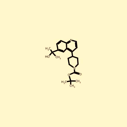 CC(C)(C)OC(=O)N1CCC(c2ccnc3ccc(C(C)(C)O)cc23)CC1